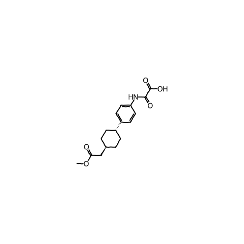 COC(=O)C[C@H]1CC[C@H](c2ccc(NC(=O)C(=O)O)cc2)CC1